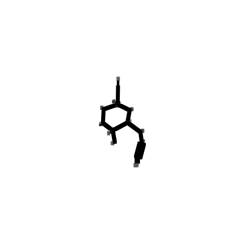 CN1CCN(I)CC1CC#N